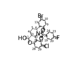 O=C(O)C1=CCC(c2cccc(Br)c2)N(S(=O)(=O)c2ccc(F)cc2)C1c1cccc(Cl)c1